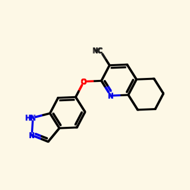 N#Cc1cc2c(nc1Oc1ccc3cn[nH]c3c1)CCCC2